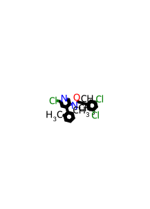 Cc1ccccc1-c1cc(Cl)ncc1N(C)C(=O)C(C)(C)c1cc(Cl)cc(Cl)c1